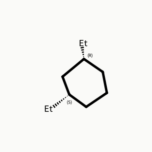 CC[C@@H]1CCC[C@H](CC)C1